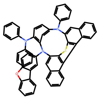 c1ccc(N(c2ccccc2)c2ccc3cc2N(c2ccc4oc5ccccc5c4c2)c2cc4ccccc4c4c2sc2c(cc5ccccc5c24)N3c2ccccc2)cc1